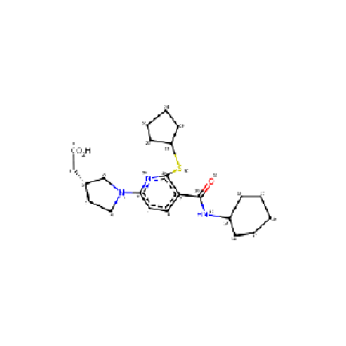 O=C(O)C[C@H]1CCN(c2ccc(C(=O)NC3CCCCC3)c(SC3CCCC3)n2)C1